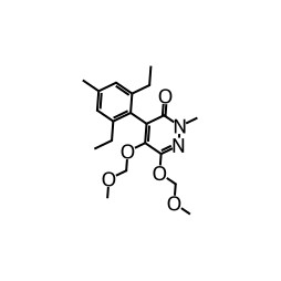 CCc1cc(C)cc(CC)c1-c1c(OCOC)c(OCOC)nn(C)c1=O